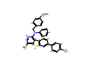 COc1ccc(CN(c2ccccc2)c2ncc(C#N)c3sc4cc(-c5ccc(C(F)(F)F)cc5)ccc4c23)cc1